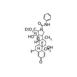 CCOC(=O)C1[C@@H]2C[C@H]3[C@@H]4C[C@H](F)C5=CC(=O)C=C[C@]5(C)[C@@]4(F)[C@@H](O)C[C@]3(C)[C@]2(C(=O)CO)CN1C(=O)Nc1ccccc1